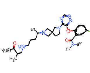 CCN(C(=O)c1cc(F)ccc1Oc1nncnc1N1CCC2(C1)CN(C(CCCNCC(C)C(=O)NC)C(C)C)C2)C(C)C